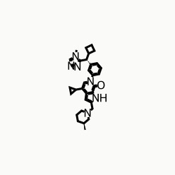 C[C@H]1CCCN(Cc2cc3c(C4CC4)cn(-c4cccc([C@H](c5nncn5C)C5CCC5)c4)c(=O)c3[nH]2)C1